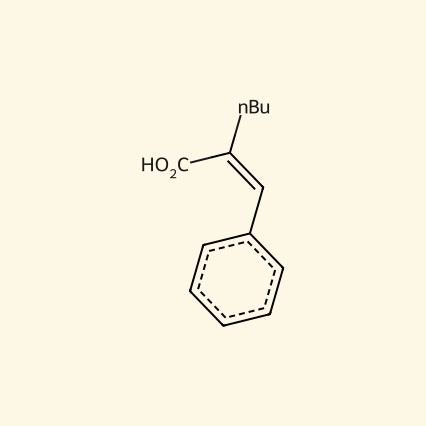 CCCC/C(=C/c1ccccc1)C(=O)O